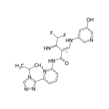 CC(C)n1cnnc1-c1cccc(NC(=O)/C(=C/Nc2cncc(O)c2)C(=N)C(F)F)n1